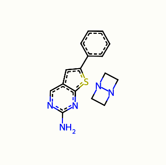 C1CN2CCN12.Nc1ncc2cc(-c3ccccc3)sc2n1